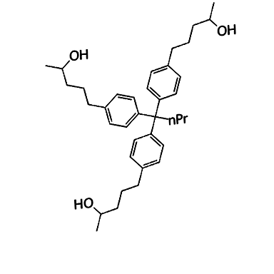 CCCC(c1ccc(CCCC(C)O)cc1)(c1ccc(CCCC(C)O)cc1)c1ccc(CCCC(C)O)cc1